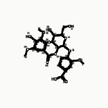 COc1cc(C(=O)O)ccc1OC1OC(CO)C(O)C(O)C1OC(=O)c1cc(OC)c(O)c(OC)c1